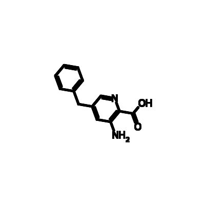 Nc1cc(Cc2ccccc2)cnc1C(=O)O